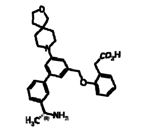 C[C@@H](N)c1cccc(-c2cc(COc3ccccc3CC(=O)O)cc(N3CCC4(CCOC4)CC3)c2)c1